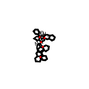 CC1C/C=C(c2c(C3CCc4cc5ccccc5cc4-c4ccccc43)ccc3oc4ccccc4c23)/N=C(c2ccc(-c3ccccc3)cc2)\N=C/1c1ccc2ccccc2c1